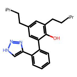 CC(C)CCc1cc(CCC(C)C)c(O)c(-c2ccccc2-c2c[nH]nn2)c1